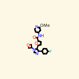 COc1cc(NC(=O)c2ccc(-c3c(-c4ccc(F)cc4)ncn3C3COC3)o2)ccn1